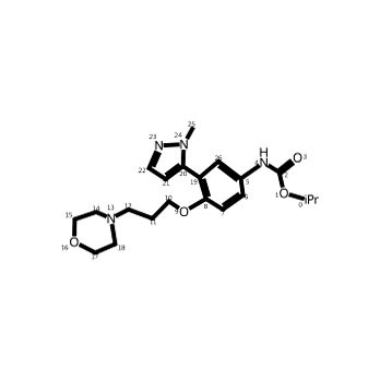 CC(C)OC(=O)Nc1ccc(OCCCN2CCOCC2)c(-c2ccnn2C)c1